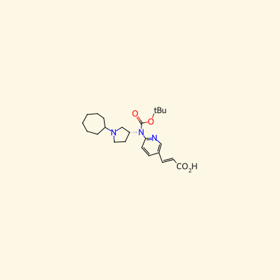 CC(C)(C)OC(=O)N(c1ccc(/C=C/C(=O)O)cn1)[C@@H]1CCN(C2CCCCCC2)C1